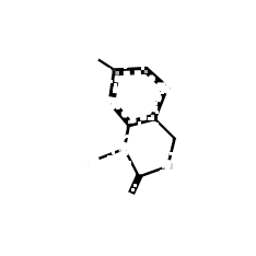 Cc1cnc2c(n1)N(C)C(=O)NC2